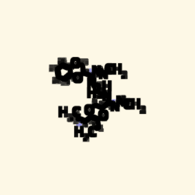 C=CC1=C(/C=C\C)OCC(/C(=N/N=C)NSCN/C(=N\N=C)C2COc3ccccc3O2)O1